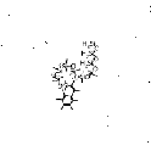 CC(=C(C)[Si](C)(C)O[Si](C)(C)O[Si](C)(C)O[Si](C)(C)O[Si](C)(C)O[Si](C)(C)O[Si](C)(C)O[SiH2]O[SiH2]O[SiH3])c1c(C)c(C)c(C)c(C)c1C